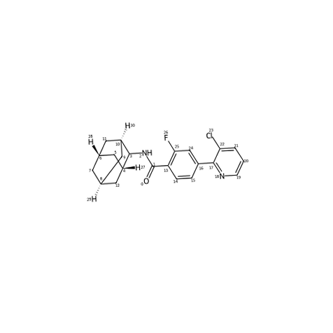 O=C(NC1[C@H]2C[C@@H]3C[C@@H](C[C@H]1C3)C2)c1ccc(-c2ncccc2Cl)cc1F